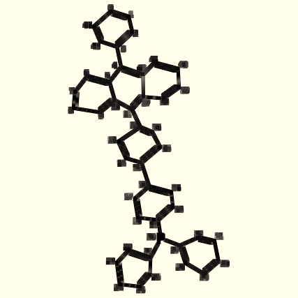 c1ccc(-c2c3ccccc3c(-c3ccc(-c4ccc(P(c5ccccc5)c5ccccc5)cc4)cc3)c3ccccc23)cc1